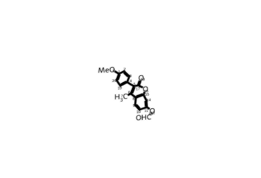 COc1ccc(-c2c(C)c3ccc(OC=O)cc3oc2=O)cc1